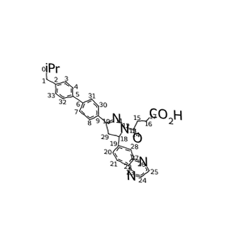 CC(C)Cc1ccc(-c2ccc(C3=NN(C(=O)CCC(=O)O)C(c4ccc5nccnc5c4)C3)cc2)cc1